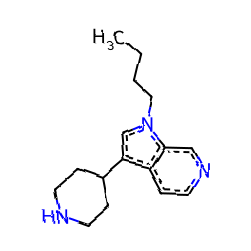 CCCCn1cc(C2CCNCC2)c2ccncc21